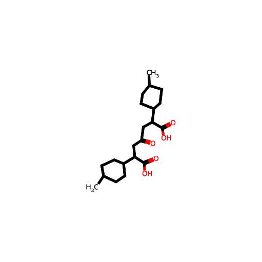 CC1CCC(C(CC(=O)CC(C(=O)O)C2CCC(C)CC2)C(=O)O)CC1